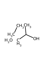 CC.CC(C)O.O